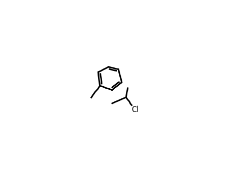 CC(C)Cl.Cc1ccccc1